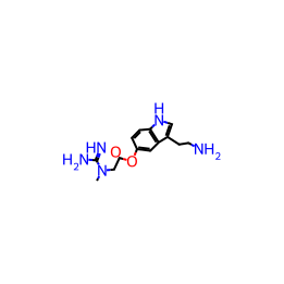 CN(CC(=O)Oc1ccc2[nH]cc(CCN)c2c1)C(=N)N